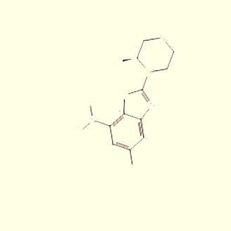 C[C@H]1CNCCN1c1nc2cc(Cl)cc(N(C)C)c2o1